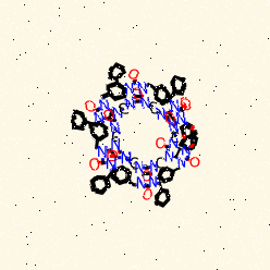 O=C1N(Cc2ccccc2)C2C(N1Cc1ccccc1)N1CN3C(=O)N(CN4C(=O)N(CN5C(=O)N(CN6C(=O)N(CN7C(=O)N(CN2C1=O)C1C7N(Cc2ccccc2)C(=O)N1Cc1ccccc1)C1C6N(Cc2ccccc2)C(=O)N1Cc1ccccc1)C1C5N(Cc2ccccc2)C(=O)N1Cc1ccccc1)C1C4N(Cc2ccccc2)C(=O)N1Cc1ccccc1)C1C3N(Cc2ccccc2)C(=O)N1Cc1ccccc1